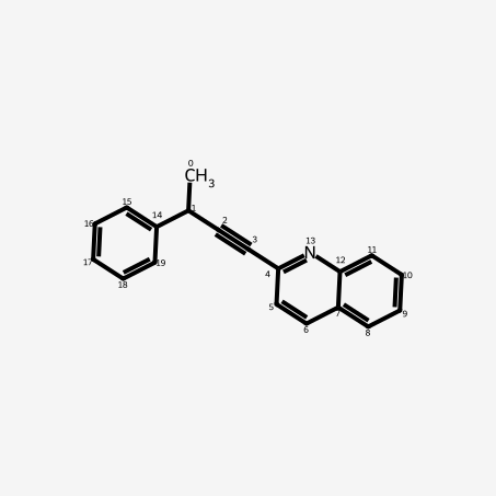 CC(C#Cc1ccc2ccccc2n1)c1ccccc1